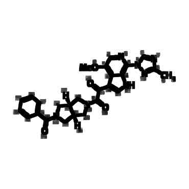 COc1cnc(-n2cnc(C)n2)c2[nH]cc(C(=O)C(=O)N3C[C@@H]4CN(C(=O)c5ccccc5)C[C@@H]4C3)c12